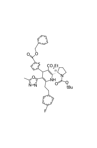 CCOC(=O)C1=C([C@@H]2CCCN2C(=O)OC(C)(C)C)NC(CCc2ccc(F)cc2)=C(c2nnc(C)o2)C1c1ccc(C(=O)OCc2ccccc2)s1